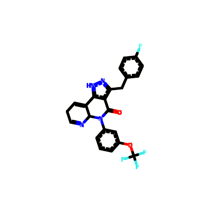 O=C1c2c(Cc3ccc(F)cc3)n[nH]c2C2=CCC=NC2N1c1cccc(OC(F)(F)F)c1